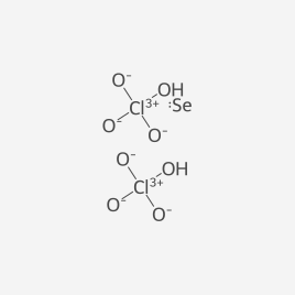 [O-][Cl+3]([O-])([O-])O.[O-][Cl+3]([O-])([O-])O.[Se]